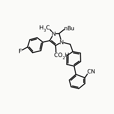 CCCCC1N(C)C(c2ccc(F)cc2)=C(C(=O)O)N1Cc1ccc(-c2ccccc2C#N)cc1